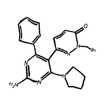 CC(C)n1nc(-c2c(-c3ccccc3)nc(N)nc2N2CCCC2)ccc1=O